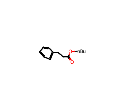 CCCCOC(=O)[CH]Cc1ccccc1